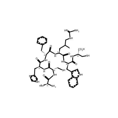 CCCC[C@H](N)C(=O)N[C@@H](CS)C(=O)N[C@@H](Cc1c[nH]cn1)C(=O)N[C@H](Cc1ccccc1)C(=O)N[C@@H](CC(I)CNC(=N)N)C(=O)N[C@H](Cc1c[nH]c2ccccc12)C(=O)N[C@@H](CS)C(=O)O